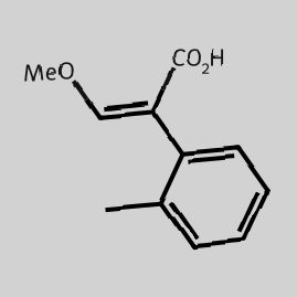 COC=C(C(=O)O)c1ccccc1C